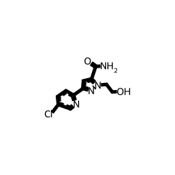 NC(=O)c1cc(-c2ccc(Cl)cn2)nn1CCO